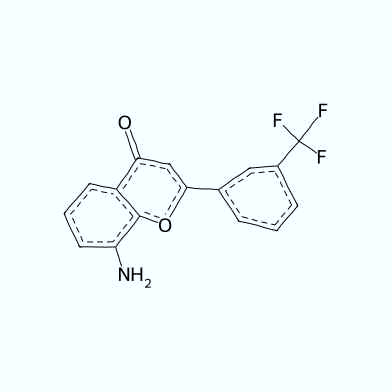 Nc1cccc2c(=O)cc(-c3cccc(C(F)(F)F)c3)oc12